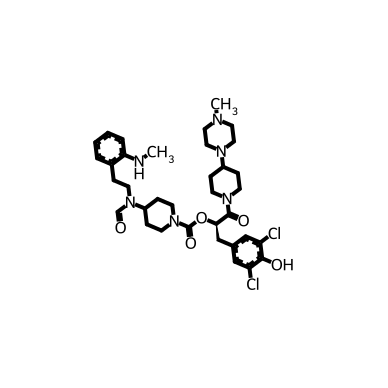 CNc1ccccc1CCN(C=O)C1CCN(C(=O)O[C@H](Cc2cc(Cl)c(O)c(Cl)c2)C(=O)N2CCC(N3CCN(C)CC3)CC2)CC1